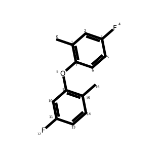 Cc1cc(F)ccc1Oc1cc(F)ccc1C